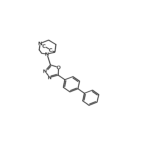 c1ccc(-c2ccc(-c3nnc(N4CCN5CCC4CC5)o3)cc2)cc1